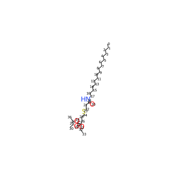 CCCCCCCCCCCCCCCCCCNC(=O)CCSCCC[Si](OCC)(OCC)OCC